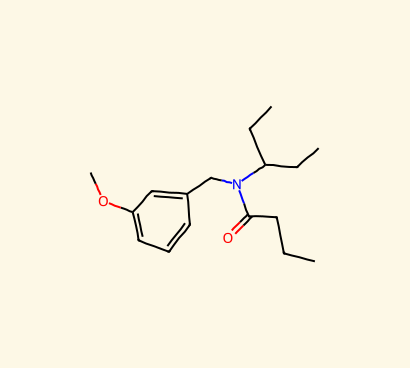 CCCC(=O)N(Cc1cccc(OC)c1)C(CC)CC